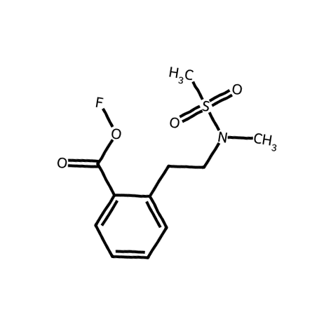 CN(CCc1ccccc1C(=O)OF)S(C)(=O)=O